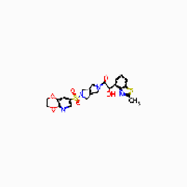 Cc1nc2c(C(O)C(=O)N3CC4=C(C3)CN(S(=O)(=O)c3cnc5c(c3)OCCO5)C4)cccc2s1